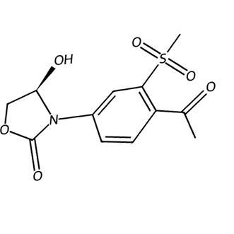 CC(=O)c1ccc(N2C(=O)OC[C@H]2O)cc1S(C)(=O)=O